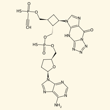 C#CP(=O)(S)OC[C@H]1C[C@@H](n2cnc3c(=O)n4nnnc4[nH]c32)[C@@H]1COP(=O)(S)OC[C@@H]1CC[C@H](n2cnc3c(N)ncnc32)O1